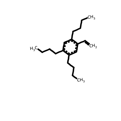 C=Cc1cc(CCCC)c(CCCC)cc1CCCC